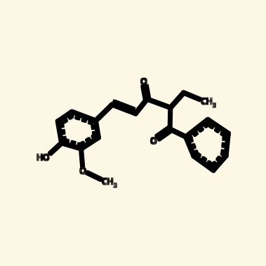 CCC(C(=O)C=Cc1ccc(O)c(OC)c1)C(=O)c1ccccc1